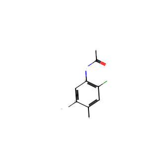 COc1cc(NC(=O)C(F)(F)F)c(Br)cc1C